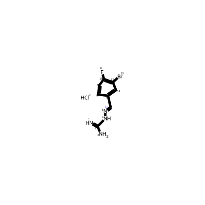 Cl.N=C(N)N/N=C/c1ccc(F)c(Br)c1